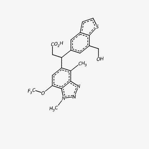 Cc1c(C(CC(=O)O)c2cc(CO)c3sccc3c2)cc(OC(F)(F)F)c2c1nnn2C